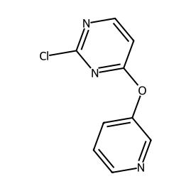 Clc1nccc(Oc2cccnc2)n1